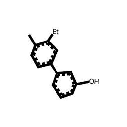 CCc1cc(-c2cccc(O)c2)ccc1C